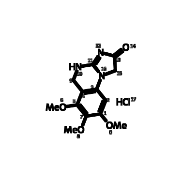 COc1cc2c(c(OC)c1OC)CNC1=NC(=O)CN12.Cl